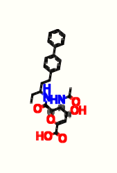 CCC(CCc1ccc(-c2ccccc2)cc1)NC(=O)[C@@H]1OC(C(=O)O)=C[C@@H](O)[C@H]1NC(C)=O